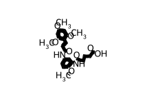 COc1cc(OC)c(/C=C/C(=O)Nc2ccc(OC)c(NC(=O)CCCC(=O)O)c2)c(OC)c1